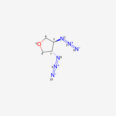 [N-]=[N+]=N[C@@H]1COC[C@H]1N=[N+]=[N-]